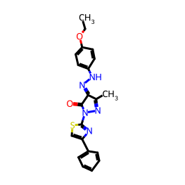 CCOc1ccc(N/N=C2/C(=O)N(c3nc(-c4ccccc4)cs3)N=C2C)cc1